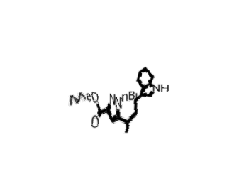 CCCCn1nc(C(=O)OC)cc1C(C)CCc1c[nH]c2ccccc12